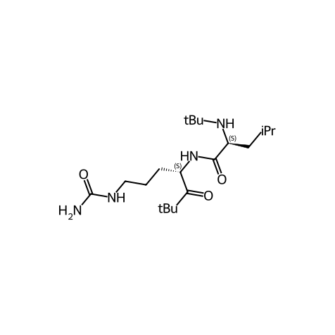 CC(C)C[C@H](NC(C)(C)C)C(=O)N[C@@H](CCCNC(N)=O)C(=O)C(C)(C)C